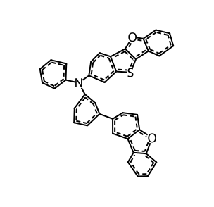 c1ccc(N(c2cccc(-c3ccc4oc5ccccc5c4c3)c2)c2ccc3c(c2)sc2c4ccccc4oc32)cc1